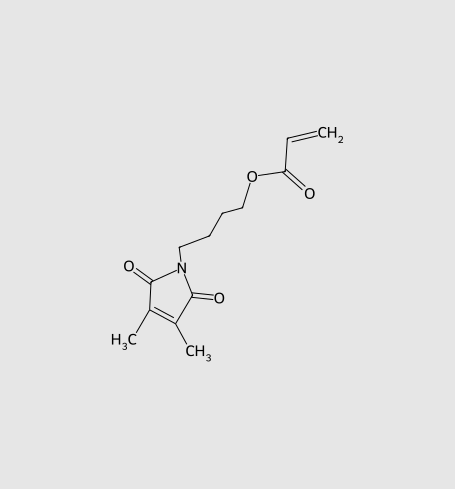 C=CC(=O)OCCCCN1C(=O)C(C)=C(C)C1=O